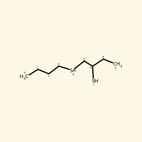 CCC[CH2][Sn][CH2]C(S)CC